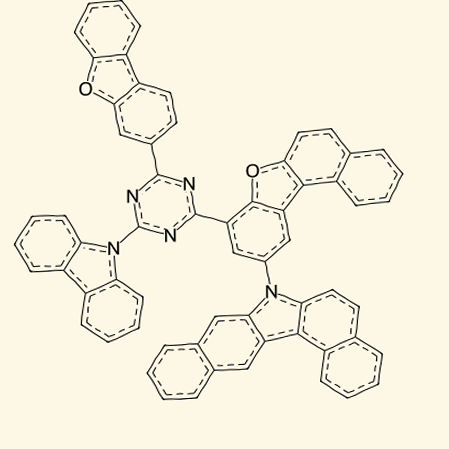 c1ccc2cc3c(cc2c1)c1c2ccccc2ccc1n3-c1cc(-c2nc(-c3ccc4c(c3)oc3ccccc34)nc(-n3c4ccccc4c4ccccc43)n2)c2oc3ccc4ccccc4c3c2c1